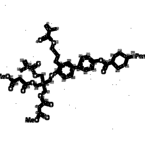 C=C(C)C(=O)OCCCc1cc(-c2ccc(OC(=O)C3CCC(CCCCC)CC3)cc2)ccc1OCC(COC(=O)CC(=O)OC)(COC(=O)CC(=O)OC)COC(=O)C(=C)C